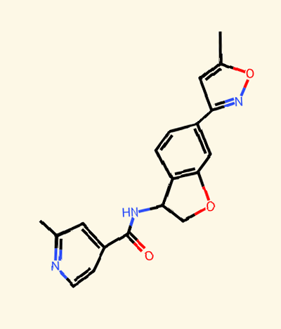 Cc1cc(C(=O)NC2COc3cc(-c4cc(C)on4)ccc32)ccn1